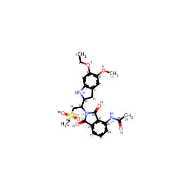 CCOc1cc2c(cc1OC)CC(C(CS(C)(=O)=O)N1C(=O)c3cccc(NC(C)=O)c3C1=O)N2